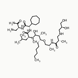 CCCCCC[C@@H](OC[C@@H](C)NC(=O)[C@@H](C)CNC[C@H](O)CO)[C@@H](C)C(O)N(C)[C@@H](CC(C)C)C(=O)N[C@H](C(=O)N[C@@H](CN)C(N)=O)C1CCCCCC1